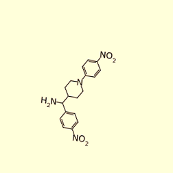 NC(c1ccc([N+](=O)[O-])cc1)C1CCN(c2ccc([N+](=O)[O-])cc2)CC1